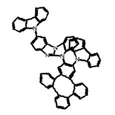 c1ccc2c(c1)-c1ccccc1-c1cc(-n3c4ccccc4c4ccccc43)c(-n3c4ccccc4n4c5cc(-n6c7ccccc7c7ccccc76)ccc5nc34)cc1-c1ccccc1-2